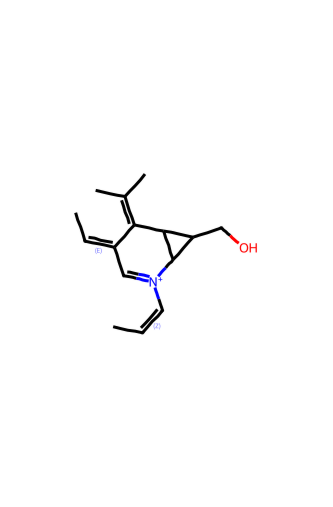 C/C=C\[N+]1=CC(=C/C)/C(=C(C)C)C2C(CO)C21